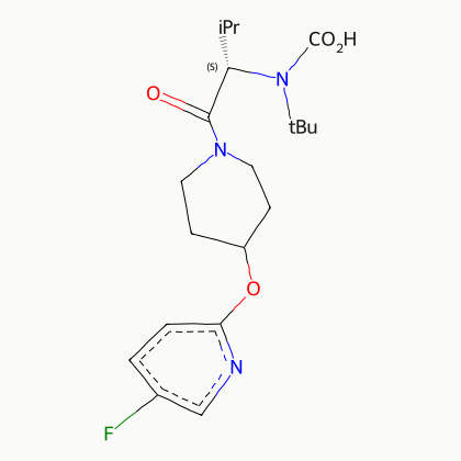 CC(C)[C@@H](C(=O)N1CCC(Oc2ccc(F)cn2)CC1)N(C(=O)O)C(C)(C)C